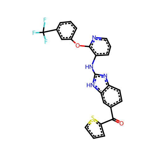 O=C(c1ccc2nc(Nc3cccnc3Oc3cccc(C(F)(F)F)c3)[nH]c2c1)c1cccs1